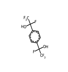 OC(F)(c1ccc(C(O)(F)C(F)(F)F)cc1)C(F)(F)F